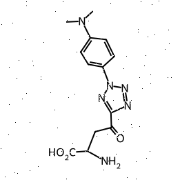 CN(C)c1ccc(-n2nnc(C(=O)CC(N)C(=O)O)n2)cc1